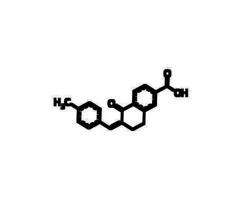 Cc1ccc(C=C2CCc3cc(C(=O)O)ccc3C2=O)cc1